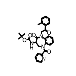 Cc1ccccc1C(=O)CN1C(=O)C(NC(=O)OC(C)(C)C)CN(C(=O)c2ccccn2)c2ccccc21